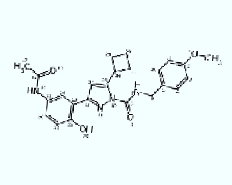 COc1ccc(CNC(=O)n2nc(-c3cc(NC(C)=O)ccc3O)cc2C2CCC2)cc1